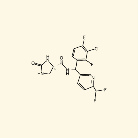 O=C1NC[C@@H](C(=O)NC(c2ccc(C(F)F)nc2)c2ccc(F)c(Cl)c2F)N1